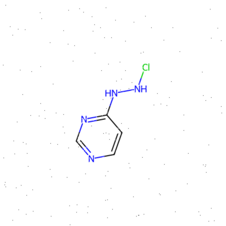 ClNNc1ccncn1